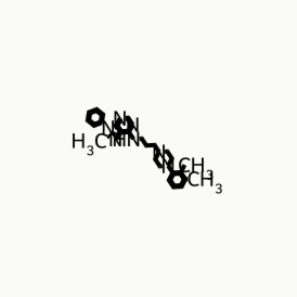 Cc1cccc(N2CCN(CCCNc3ncnc4c3nc(C)n4-c3ccccc3)CC2)c1C